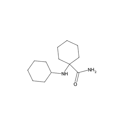 NC(=O)C1(NC2CCCCC2)CCCCC1